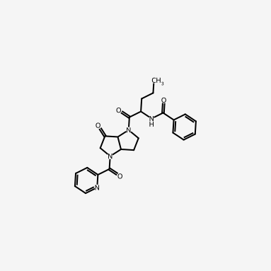 CCCC(NC(=O)c1ccccc1)C(=O)N1CCC2C1C(=O)CN2C(=O)c1ccccn1